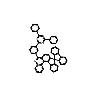 c1ccc(-c2nc(-c3ccccc3)nc(-c3cccc(-c4nc5ccccc5c5c6c(ccc45)C4(c5ccccc5-c5ccccc54)c4ccccc4-6)c3)n2)cc1